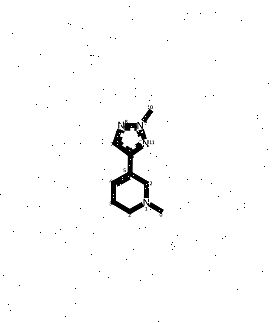 CN1CCC=C(c2cnn(C)n2)C1